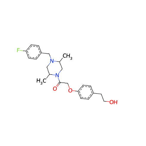 CC1CN(C(=O)COc2ccc(CCO)cc2)C(C)CN1Cc1ccc(F)cc1